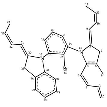 C=C/C=C\C1=C(C)C/C(=C\C=C/C)N1c1cccc(N2/C(=C/C=C\C)Cc3ccccc32)c1Br